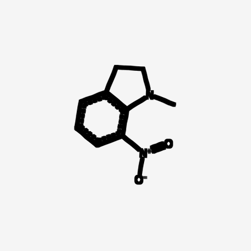 CN1CCc2cccc([N+](=O)[O-])c21